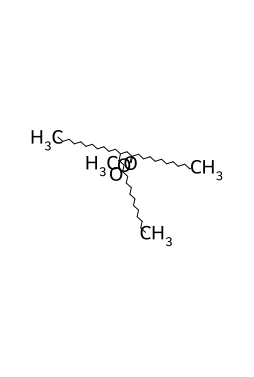 CCCCCCCCCCCC(=O)CC(CCCCCCCCCCC)C(C)OC(=O)CCCCCCCCCCC